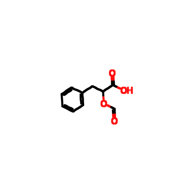 O=COC(Cc1ccccc1)C(=O)O